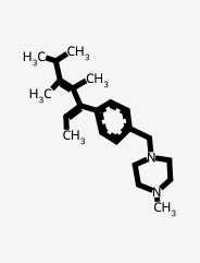 C/C=C(/C(C)=C(\C)C(C)C)c1ccc(CN2CCN(C)CC2)cc1